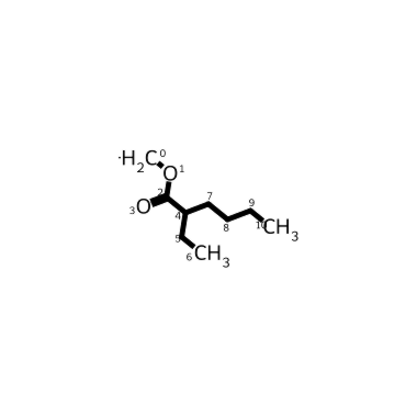 [CH2]OC(=O)C(CC)CCCC